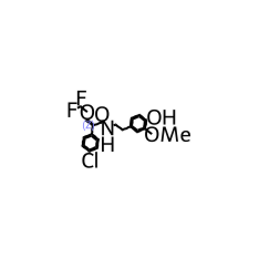 COc1cc(CCNC(=O)/C(=C\OC(F)F)c2ccc(Cl)cc2)ccc1O